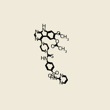 COc1cc2[nH]c3ncnc(N4CCN(C(=S)Nc5ccc(S(=O)(=O)Nc6ncccn6)cc5)CC4)c3c2cc1OC(C)=O